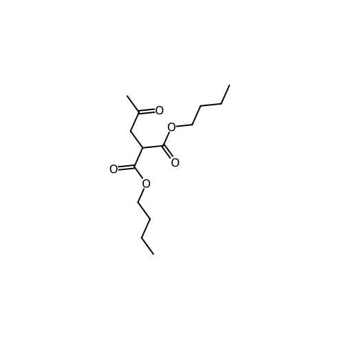 CCCCOC(=O)C(CC(C)=O)C(=O)OCCCC